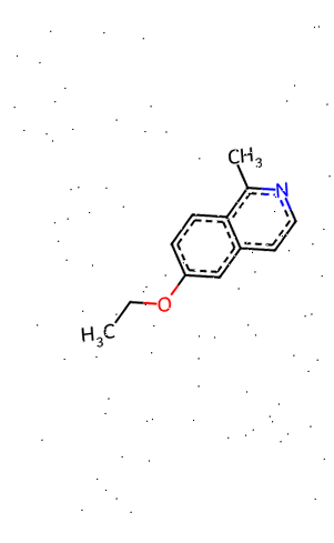 CCOc1ccc2c(C)nccc2c1